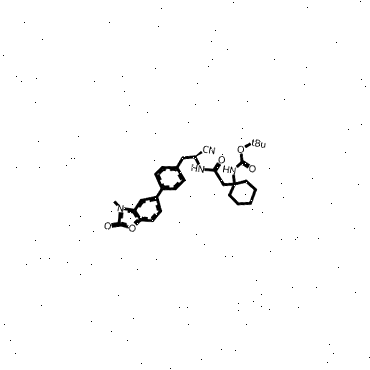 Cn1c(=O)oc2ccc(-c3ccc(C[C@@H](C#N)NC(=O)CC4(NC(=O)OC(C)(C)C)CCCCC4)cc3)cc21